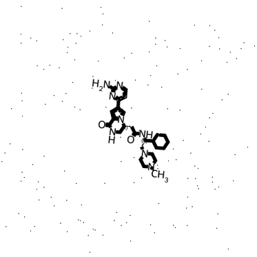 CN1CCN(C[C@H](NC(=O)C[C@@H]2CNC(=O)c3cc(-c4ccnc(N)n4)cn32)C2CCCCC2)CC1